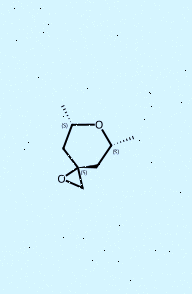 C[C@@H]1C[C@]2(CO2)C[C@H](C)O1